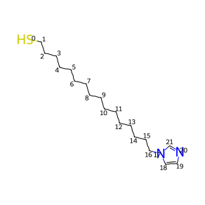 SCCCCCCCCCCCCCCCCn1ccnc1